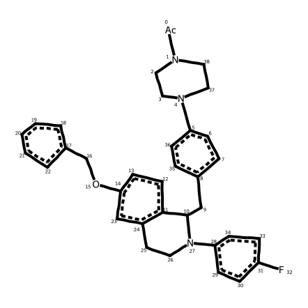 CC(=O)N1CCN(c2ccc(CC3c4ccc(OCc5ccccc5)cc4CCN3c3ccc(F)cc3)cc2)CC1